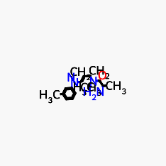 C=NN(/C(C)=C/C(=C)N(C)C(=O)C(C)N)c1cccc(C)c1